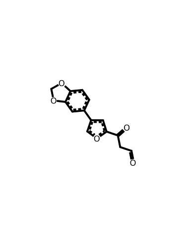 O=CCC(=O)c1cc(-c2ccc3c(c2)OCO3)co1